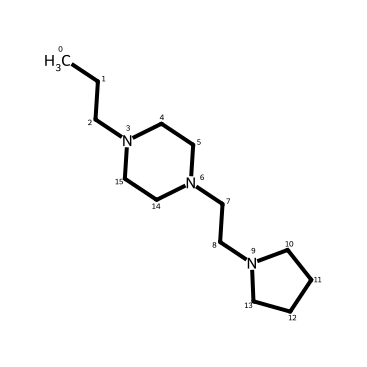 CCCN1CCN(CCN2CCCC2)CC1